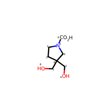 O=C(O)N1CCC(CO)(CO)C1